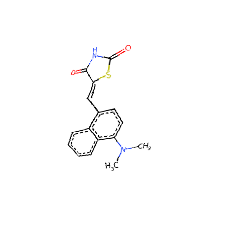 CN(C)c1ccc(/C=C2\SC(=O)NC2=O)c2ccccc12